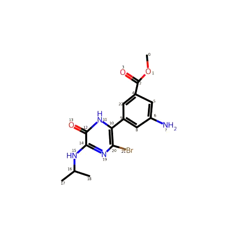 COC(=O)c1cc(N)cc(-c2[nH]c(=O)c(NC(C)C)nc2Br)c1